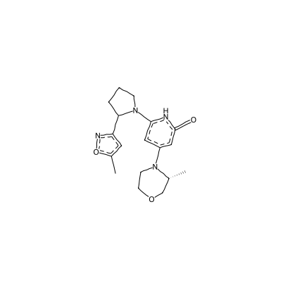 Cc1cc(C2CCCN2c2cc(N3CCOC[C@H]3C)cc(=O)[nH]2)no1